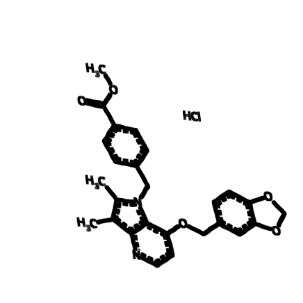 COC(=O)c1ccc(Cn2c(C)c(C)c3nccc(OCc4ccc5c(c4)OCO5)c32)cc1.Cl